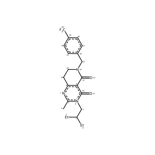 CCC(CC)Cn1c(C)nc2c(c1=O)C(=O)N(Cc1ccc(C(F)(F)F)cc1)CC2